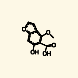 COc1c(C(=O)O)c(O)cc2occc12